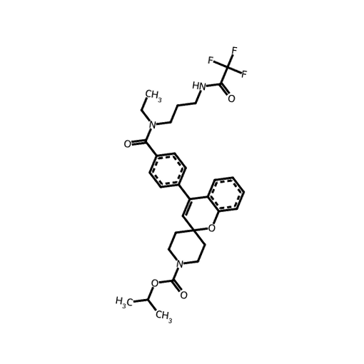 CCN(CCCNC(=O)C(F)(F)F)C(=O)c1ccc(C2=CC3(CCN(C(=O)OC(C)C)CC3)Oc3ccccc32)cc1